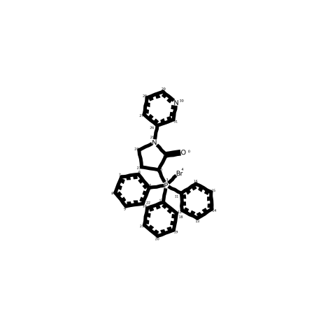 O=C1C(P(Br)(c2ccccc2)(c2ccccc2)c2ccccc2)CCN1c1cccnc1